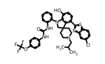 CC(C)CN1CCC2(CC1)CN(c1ccccc1NC(=O)Nc1ccc(OC(F)(F)F)cc1)c1c(O)ccc(-c3nc4cc(Cl)ccc4s3)c12